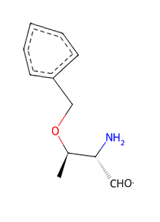 C[C@@H](OCc1ccccc1)[C@H](N)[C]=O